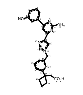 N#Cc1cccc(-c2cc(-c3cn(Cc4cccc(C5(CC(=O)O)CCC5)n4)nn3)nc(N)n2)c1